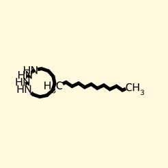 C1CCCCNNNNCCC1.CCCCCCCCCCCC